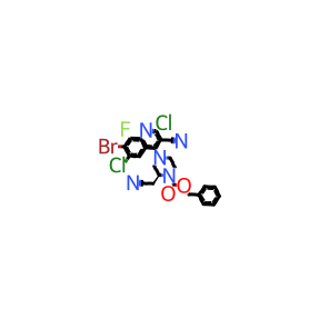 N#CC[C@H]1CN(c2c(C#N)c(Cl)nc3c(F)c(Br)c(Cl)cc23)CCN1C(=O)OCc1ccccc1